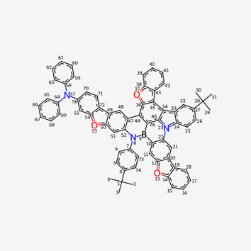 CC(C)(C)c1ccc(N2B3c4cc5oc6ccccc6c5cc4-n4c5ccc(C(C)(C)C)cc5c5c6c(oc7ccccc76)c(c3c54)-c3cc4c(cc32)oc2cc(N(c3ccccc3)c3ccccc3)ccc24)cc1